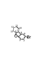 Brc1ccc2oc3c(c2c1)C=CCC3